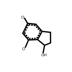 OC1CCc2cc(Cl)cc(Cl)c21